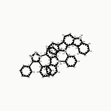 c1ccc(-c2nnn(-c3cccc4c3c3ccccc3n4-c3ccccc3-n3c4ccccc4c4ccc5oc6ccccc6c5c43)c2-c2ccccc2)cc1